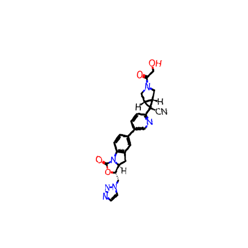 N#CC1(c2ccc(-c3ccc4c(c3)C[C@H]3[C@H](Cn5ccnn5)OC(=O)N43)cn2)[C@@H]2CN(C(=O)CO)C[C@@H]21